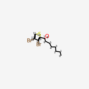 CCCCCCCC(=O)c1scc(Br)c1Br